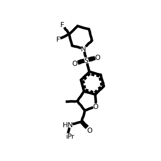 CC(C)NC(=O)C1Oc2ccc(S(=O)(=O)N3CCCC(F)(F)C3)cc2C1C